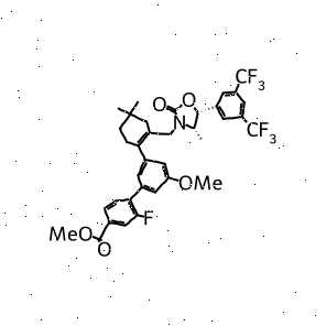 COC(=O)c1ccc(-c2cc(OC)cc(C3=C(CN4C(=O)O[C@H](c5cc(C(F)(F)F)cc(C(F)(F)F)c5)[C@@H]4C)CC(C)(C)CC3)c2)c(F)c1